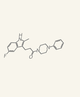 Cc1[nH]c2ccc(F)cc2c1CCC(=O)N1CCN(c2ccccc2)CC1